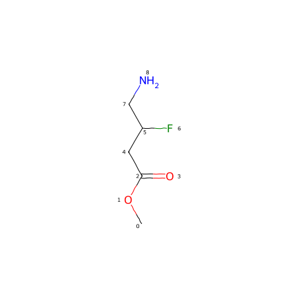 COC(=O)CC(F)CN